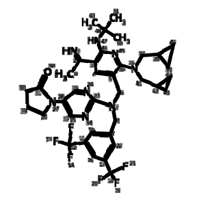 CC(=N)c1cc(CN(Cc2cc(C(F)(F)F)cc(C(F)(F)F)c2)c2ncc(N3CCCC3=O)cn2)c(N(CC2CC2)CC2CC2)nc1NC(C)(C)C